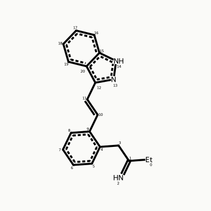 CCC(=N)Cc1ccccc1C=Cc1n[nH]c2ccccc12